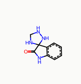 O=C1Nc2ccccc2C12NCNN2